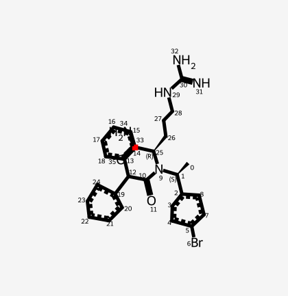 C[C@@H](c1ccc(Br)cc1)N(C(=O)C(c1ccccc1)c1ccccc1)[C@H](CCCNC(=N)N)C(N)=O